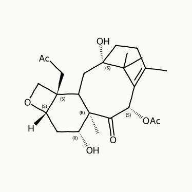 CC(=O)C[C@]12CO[C@H]1C[C@@H](O)[C@]1(C)C(=O)[C@@H](OC(C)=O)C3=C(C)CC[C@](O)(CC21)C3(C)C